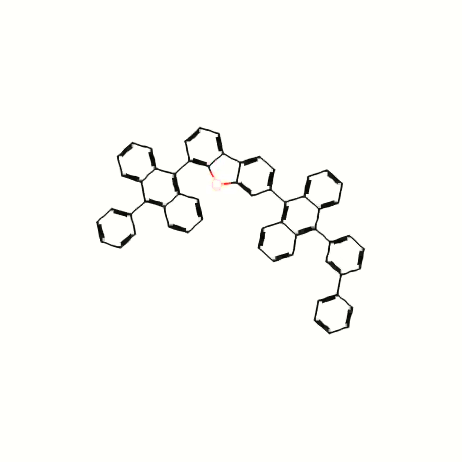 c1ccc(-c2cccc(-c3c4ccccc4c(-c4ccc5c(c4)oc4c(-c6c7ccccc7c(-c7ccccc7)c7ccccc67)cccc45)c4ccccc34)c2)cc1